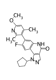 COc1cc(C)c(-c2cc3[nH]c(=O)c4cnn(C5CCCC5)c4c3cc2F)c(C)n1